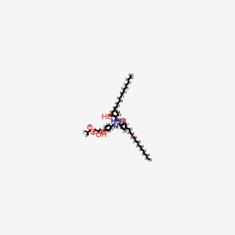 C=C(C)C(=O)OCC(O)COc1ccc(-c2nc(-c3ccc(CCCCCCCCCCCCCCC)cc3O)nc(-c3ccc(CCCCCCCCCCCCCCC)cc3O)n2)cc1